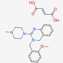 COc1ccccc1CN1Cc2ccccc2N=C1N1CCN(C)CC1.O=C(O)/C=C/C(=O)O